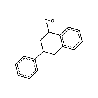 O=CC1CC(c2ccccc2)Cc2ccccc21